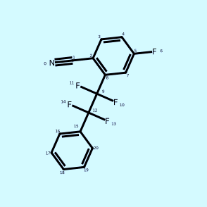 N#Cc1ccc(F)cc1C(F)(F)C(F)(F)c1ccccc1